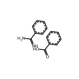 N=C(N)c1ccccc1.O=C(O)c1ccccc1